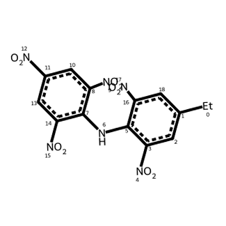 CCc1cc([N+](=O)[O-])c(Nc2c([N+](=O)[O-])cc([N+](=O)[O-])cc2[N+](=O)[O-])c([N+](=O)[O-])c1